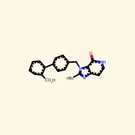 CCCCc1nc2cc[nH]c(=O)c2n1Cc1ccc(-c2ccccc2C(=O)O)cc1